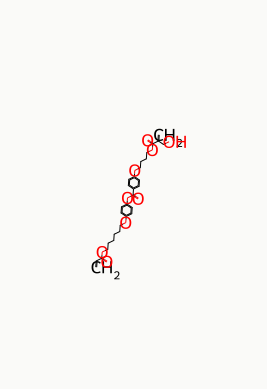 C=CC(=O)OCCCCCCOc1ccc(OC(=O)c2ccc(OCCCCOC(=O)C(=C)CO)cc2)cc1